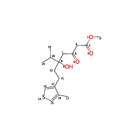 COC(=O)CC(=O)CC(O)(CCc1cscc1C)C(C)C